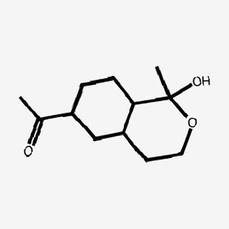 CC(=O)C1CCC2C(CCOC2(C)O)C1